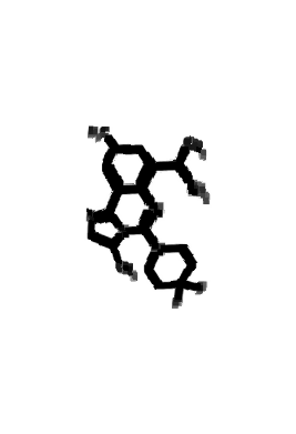 Cc1cc([C@@H](C)N)c2nc(N3CCC(F)(F)CC3)n3c(C)cnc3c2c1